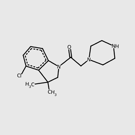 CC1(C)CN(C(=O)CN2CCNCC2)c2cccc(Cl)c21